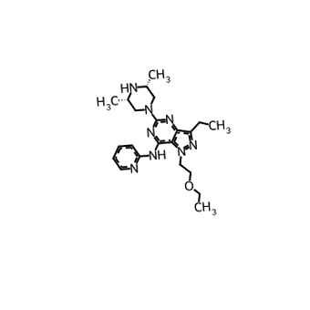 CCOCCn1nc(CC)c2nc(N3C[C@@H](C)N[C@@H](C)C3)nc(Nc3ccccn3)c21